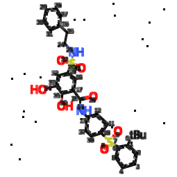 CC(C)(C)c1ccccc1S(=O)(=O)c1ccc(NC(=O)c2cc(S(=O)(=O)NCCc3ccccc3)cc(O)c2O)cc1